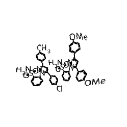 COc1ccc(-c2cc(-c3ccc(OC)cc3)n(-c3ccccc3S(N)(=O)=O)n2)cc1.Cc1ccc(-c2cc(-c3ccc(Cl)cc3)n(-c3ccccc3S(N)(=O)=O)n2)cc1